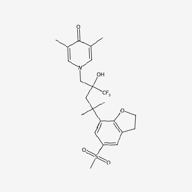 Cc1cn(CC(O)(CC(C)(C)c2cc(S(C)(=O)=O)cc3c2OCC3)C(F)(F)F)cc(C)c1=O